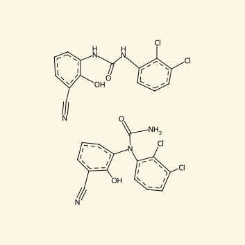 N#Cc1cccc(N(C(N)=O)c2cccc(Cl)c2Cl)c1O.N#Cc1cccc(NC(=O)Nc2cccc(Cl)c2Cl)c1O